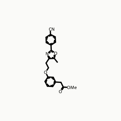 COC(=O)Cc1cccc(OCCc2nc(-c3ccc(C#N)cc3)oc2C)c1